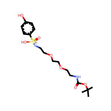 CC(C)(C)OC(=O)NCCOCCOCCN=[S@](=O)(O)c1ccc(O)cc1